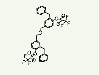 O=S(=O)(Oc1ccc(COCc2ccc(OS(=O)(=O)C(F)(F)F)c(Cc3ccccc3)c2)cc1Cc1ccccc1)C(F)(F)F